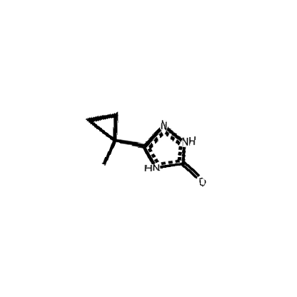 CC1(c2n[nH]c(=O)[nH]2)CC1